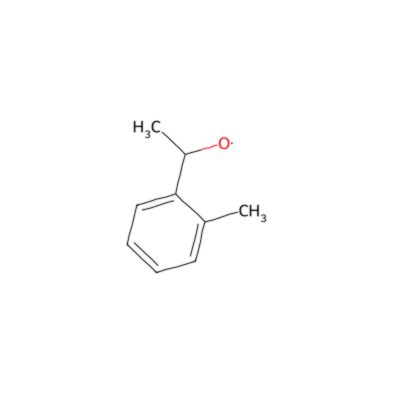 Cc1ccccc1C(C)[O]